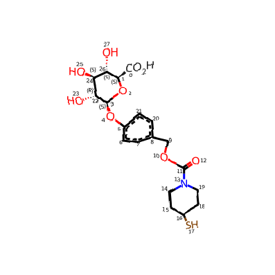 O=C(O)[C@H]1O[C@@H](Oc2ccc(COC(=O)N3CCC(S)CC3)cc2)[C@H](O)[C@@H](O)[C@@H]1O